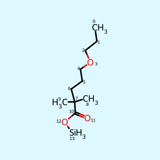 CCCOCCCC(C)(C)C(=O)O[SiH3]